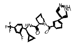 O=C(NC(c1ccc(C(F)(F)F)cc1F)C1CC1)[C@H]1CCCN1C(=O)c1cccc(-c2cn[nH]c2)c1